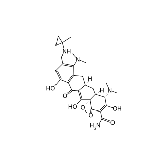 CO[C@@]12C(=O)C(C(N)=O)=C(O)[C@@H](N(C)C)[C@@H]1C[C@@H]1Cc3c(c(O)cc(CNC4(C)CC4)c3N(C)C)C(=O)C1=C2O